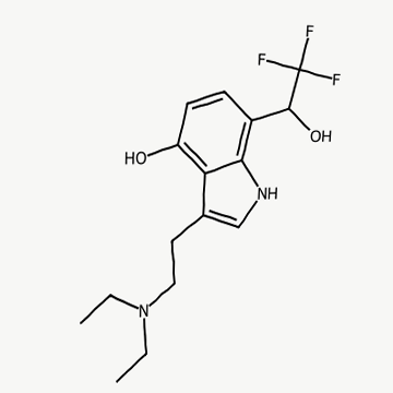 CCN(CC)CCc1c[nH]c2c(C(O)C(F)(F)F)ccc(O)c12